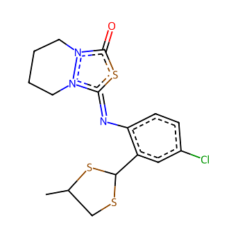 CC1CSC(c2cc(Cl)ccc2N=c2sc(=O)n3n2CCCC3)S1